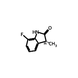 C[C@H]1C(=O)Nc2c(F)cccc21